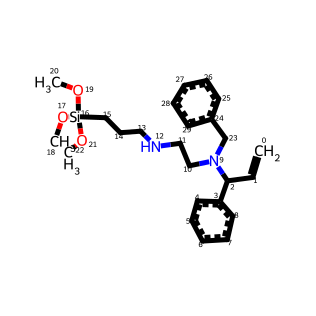 C=CC(c1ccccc1)N(CCNCCC[Si](OC)(OC)OC)Cc1ccccc1